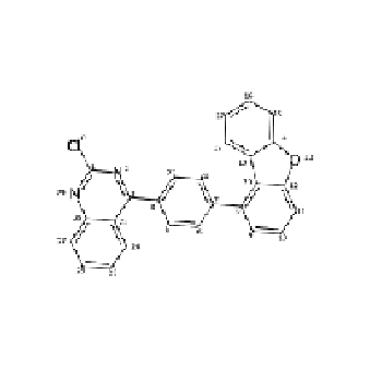 Clc1nc(-c2ccc(-c3cccc4oc5ccccc5c34)cc2)c2ccccc2n1